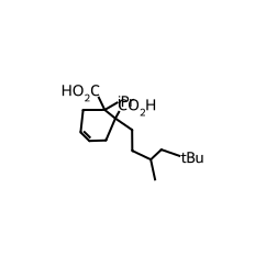 CC(CCC1(C(=O)O)CC=CCC1(C(=O)O)C(C)C)CC(C)(C)C